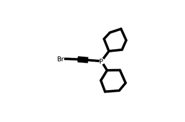 BrC#CP(C1CCCCC1)C1CCCCC1